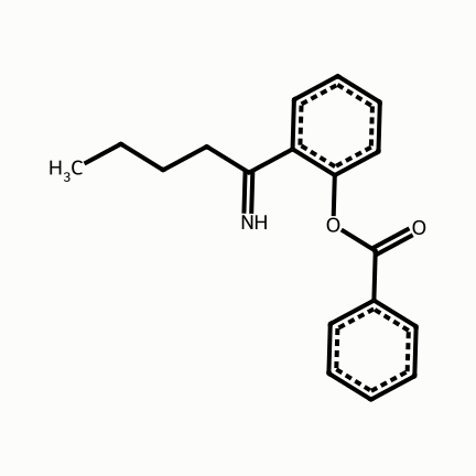 CCCCC(=N)c1ccccc1OC(=O)c1ccccc1